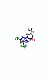 CC(C)(C)C1CC(=O)c2nc3c(C(F)(F)F)cc(Cl)cn3c2C1